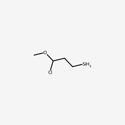 COC(Cl)CC[SiH3]